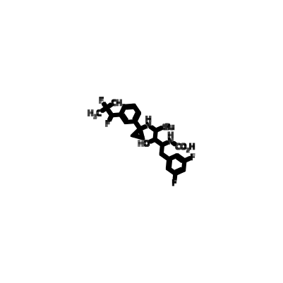 CC(C)(C)C(NC1(c2cccc(C(F)C(C)(C)F)c2)CC1)C(O)C(Cc1cc(F)cc(F)c1)NC(=O)O